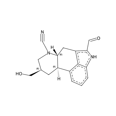 N#CN1C[C@H](CO)C[C@@H]2c3cccc4[nH]c(C=O)c(c34)C[C@H]21